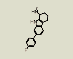 CNC1CCCc2c1[nH]c1cc(-c3ccc(F)cc3)ccc21